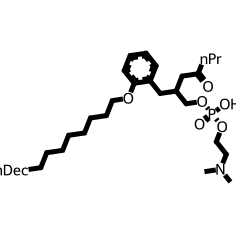 CCCCCCCCCCCCCCCCCCOc1ccccc1CC(COP(=O)(O)OCCN(C)C)CC(=O)CCC